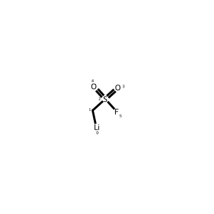 [Li][CH2]S(=O)(=O)F